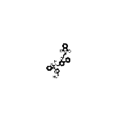 O=C1c2ccccc2C(=O)N1CCCOc1cc(CNc2nc3ccccc3n2[C@H]2CC[C@@H](CO)O2)ccc1-c1ccccc1